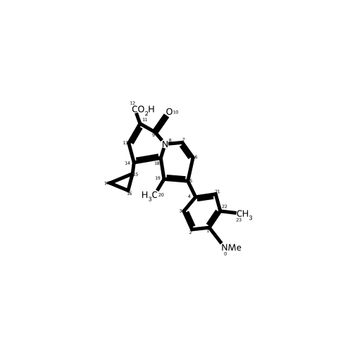 CNc1ccc(-c2ccn3c(=O)c(C(=O)O)cc(C4CC4)c3c2C)cc1C